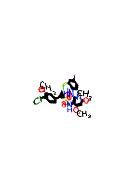 COc1cc(C2CC2S(=O)(=O)Nc2c(OC)cc(=O)n(C)c2Nc2ccc(I)cc2F)ccc1Cl